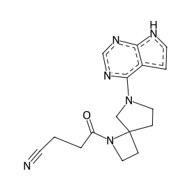 N#CCCC(=O)N1CCC12CCN(c1ncnc3[nH]ccc13)C2